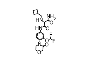 NC(=O)[C@@H](NCC1CCC1)C(=O)Nc1ccc(N2CCOCC2=O)c(OC(F)F)c1